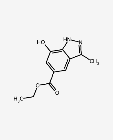 CCOC(=O)c1cc(O)c2[nH]nc(C)c2c1